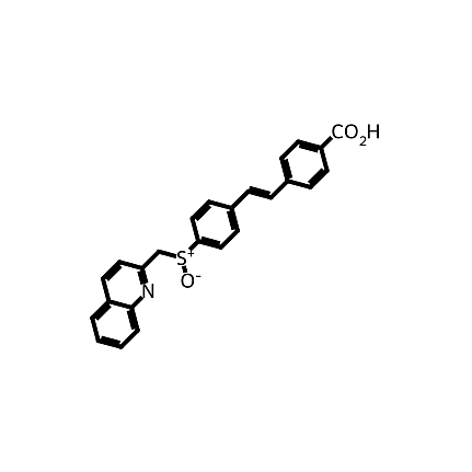 O=C(O)c1ccc(C=Cc2ccc([S+]([O-])Cc3ccc4ccccc4n3)cc2)cc1